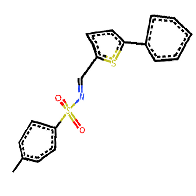 Cc1ccc(S(=O)(=O)/N=C/c2ccc(-c3ccccc3)s2)cc1